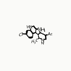 CC(=O)C1CNC(C)C2C3C(=CNc4cc(Cl)ccc43)NC12